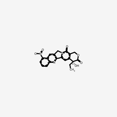 CC[C@]1(O)C(=O)OCc2c1cc1n(c2=O)Cc2cc3c([N+](=O)[O-])cccc3nc2-1